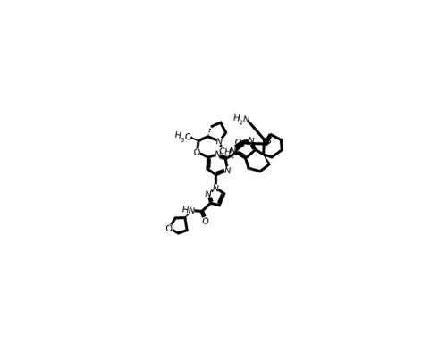 C[C@H](Oc1cc(-n2ccc(C(=O)N[C@@H]3CCOC3)n2)nc(-c2onc3c2CCC[C@@]32CCCc3sc(N)c(C#N)c32)n1)[C@@H]1CCCN1C